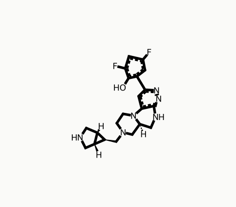 Oc1c(F)cc(F)cc1-c1cc2c(nn1)NC[C@H]1CN(C[C@H]3[C@@H]4CNC[C@@H]43)CCN21